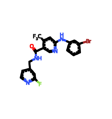 O=C(NCc1ccnc(F)c1)c1cnc(Nc2cccc(Br)c2)cc1C(F)(F)F